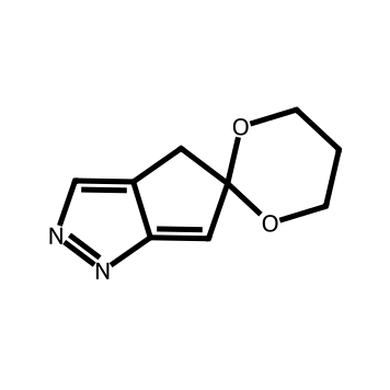 C1=C2CC3(C=C2N=N1)OCCCO3